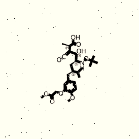 COC(=O)COc1cc(C[C@@H](C[C@H](NOC(C)(C)C)[C@@H](O)C(=C=O)[C@@H](C)C(=O)O)C(C)C)ccc1OC